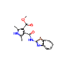 COC(=O)c1c(C)[nH]c(C)c1C(=O)Nc1nc2ccccc2s1